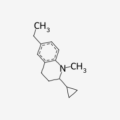 CCc1ccc2c(c1)CCC(C1CC1)N2C